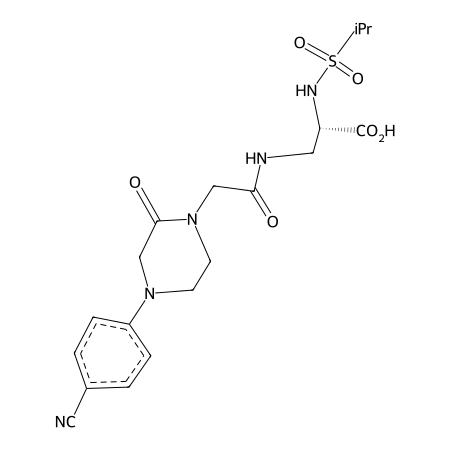 CC(C)S(=O)(=O)N[C@@H](CNC(=O)CN1CCN(c2ccc(C#N)cc2)CC1=O)C(=O)O